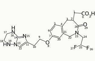 O=C(O)CC1Cc2ccc(OCCc3cn4c(n3)NCCN4)cc2CN(CC(F)F)C1=O